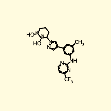 Cc1cc(Nc2nccc(C(F)(F)F)n2)cc(-c2cnn(C3CCC[C@H](O)[C@@H]3O)c2)c1